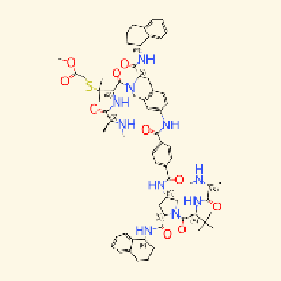 CN[C@@H](C)C(=O)N[C@H](C(=O)N1C[C@@H](NC(=O)c2ccc(C(=O)Nc3ccc4c(c3)CN(C(=O)[C@@H](NC(=O)[C@H](C)NC)C(C)(C)SCC(=O)OC)[C@H](C(=O)N[C@@H]3CCCc5ccccc53)C4)cc2)C[C@H]1C(=O)N[C@@H]1CCCc2ccccc21)C(C)(C)C